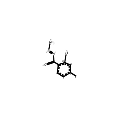 Cc1ccc(C(=O)N=NN)c(Cl)c1